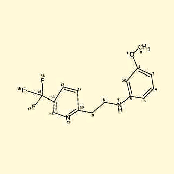 COc1cccc(NCCc2ccc(C(F)(F)F)cn2)c1